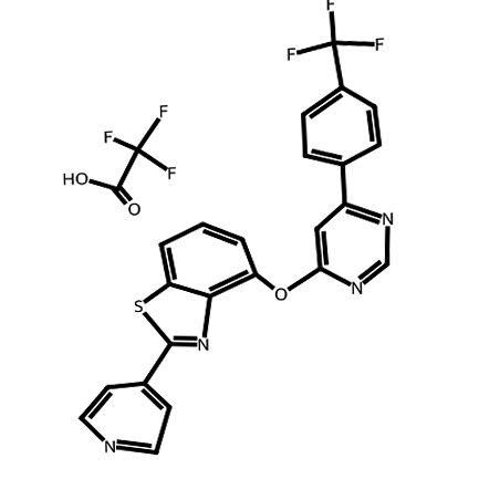 FC(F)(F)c1ccc(-c2cc(Oc3cccc4sc(-c5ccncc5)nc34)ncn2)cc1.O=C(O)C(F)(F)F